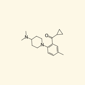 Cc1ccc(N2CCC(N(C)C)CC2)c(C(=O)C2CC2)c1